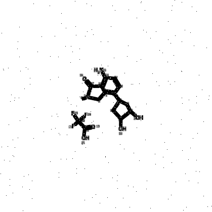 CN1Cc2c(C3CC(O)C(O)C3)ccc(N)c2C1=O.O=C(O)C(F)(F)F